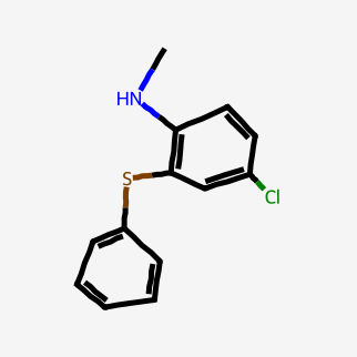 CNc1ccc(Cl)cc1Sc1ccccc1